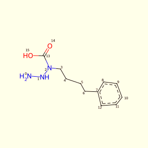 NNN(CCCCc1ccccc1)C(=O)O